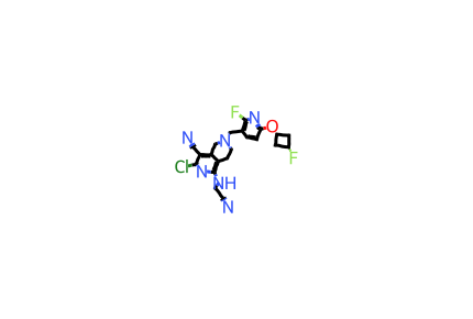 N#CCNc1nc(Cl)c(C#N)c2c1CCN(Cc1ccc(O[C@H]3C[C@H](F)C3)nc1F)C2